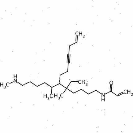 C=CCC#CCCC(C(C)CCCCNC)C(C)(CC)CCCCNC(=O)C=C